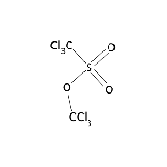 O=S(=O)(OC(Cl)(Cl)Cl)C(Cl)(Cl)Cl